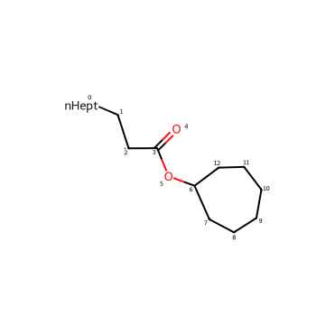 CCCCCCCC[CH]C(=O)OC1CCCCCC1